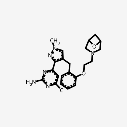 Cn1cc(Cc2ccccc2OCCN2CC3CC(C2)O3)c(-c2cc(Cl)nc(N)n2)n1